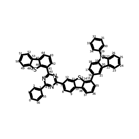 c1ccc(-c2nc(-c3ccc4c(c3)sc3c(-c5ccc6c(c5)c5ccccc5n6-c5ccccc5)cccc34)nc(-c3cccc4c3sc3ccccc34)n2)cc1